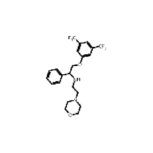 FC(F)(F)c1cc(OCC(NCCN2CCOCC2)c2ccccc2)cc(C(F)(F)F)c1